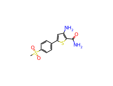 CS(=O)(=O)c1ccc(-c2cc(N)c(C(N)=O)s2)cc1